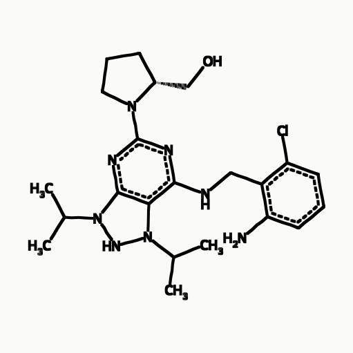 CC(C)N1NN(C(C)C)c2c(NCc3c(N)cccc3Cl)nc(N3CCC[C@@H]3CO)nc21